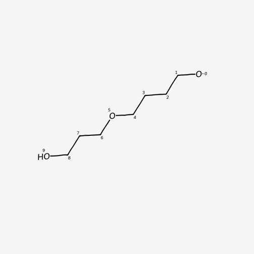 [O]CCCCOCCCO